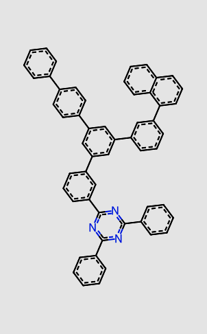 c1ccc(-c2ccc(-c3cc(-c4cccc(-c5nc(-c6ccccc6)nc(-c6ccccc6)n5)c4)cc(-c4cccc(-c5cccc6ccccc56)c4)c3)cc2)cc1